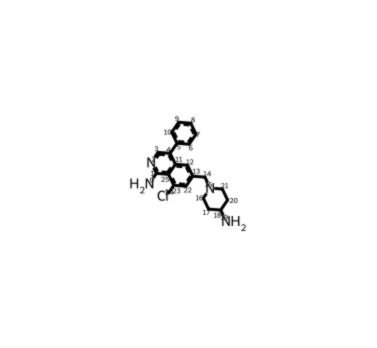 Nc1ncc(-c2ccccc2)c2cc(CN3CCC(N)CC3)cc(Cl)c12